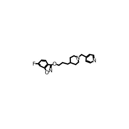 Fc1ccc2c(OCCCC3CCN(Cc4ccncc4)CC3)noc2c1